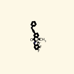 CN1c2ccc(C#CCc3ccccc3)cc2C(=O)/C(=C/c2ccc(F)c(F)c2)[S+]1[O-]